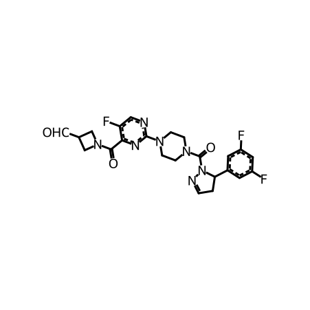 O=CC1CN(C(=O)c2nc(N3CCN(C(=O)N4N=CCC4c4cc(F)cc(F)c4)CC3)ncc2F)C1